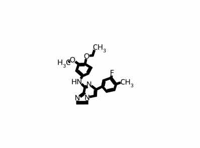 CCOc1ccc(Nc2nc(-c3ccc(C)c(F)c3)cn3ccnc23)cc1OC